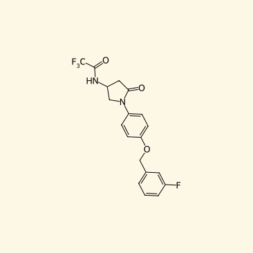 O=C1CC(NC(=O)C(F)(F)F)CN1c1ccc(OCc2cccc(F)c2)cc1